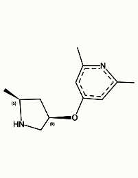 Cc1cc(O[C@H]2CN[C@@H](C)C2)cc(C)n1